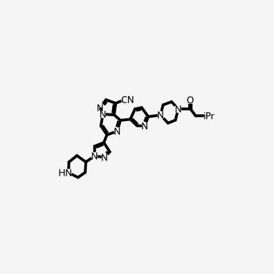 CC(C)CC(=O)N1CCN(c2ccc(-c3nc(-c4cnn(C5CCNCC5)c4)cn4ncc(C#N)c34)cn2)CC1